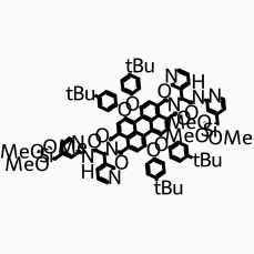 CO[Si](Cc1ccnc(NC(=O)C(c2cccnc2)N2C(=O)c3cc(Oc4ccc(C(C)(C)C)cc4)c4c5c(Oc6ccc(C(C)(C)C)cc6)cc6c7c(cc(Oc8ccc(C(C)(C)C)cc8)c(c8c(Oc9ccc(C(C)(C)C)cc9)cc(c3c48)C2=O)c75)C(=O)N(C(C(=O)Nc2cc(C[Si](OC)(OC)OC)ccn2)c2cccnc2)C6=O)c1)(OC)OC